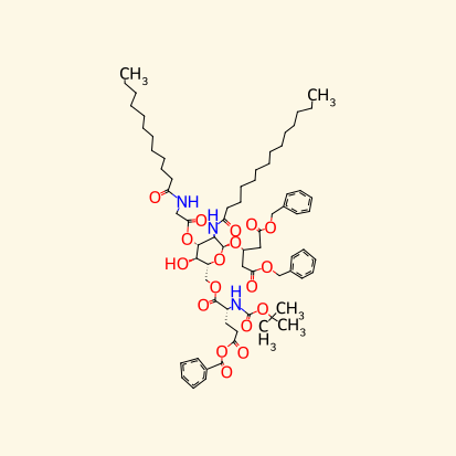 CCCCCCCCCCCCCC(=O)N[C@H]1[C@@H](OC(CC(=O)OCc2ccccc2)CC(=O)OCc2ccccc2)O[C@H](COC(=O)[C@@H](CCC(=O)OC(=O)c2ccccc2)NC(=O)OC(C)(C)C)[C@@H](O)[C@@H]1OC(=O)CNC(=O)CCCCCCCCCCC